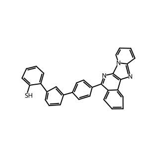 Sc1ccccc1-c1cccc(-c2ccc(-c3nc4c(nc5ccccn54)c4ccccc34)cc2)c1